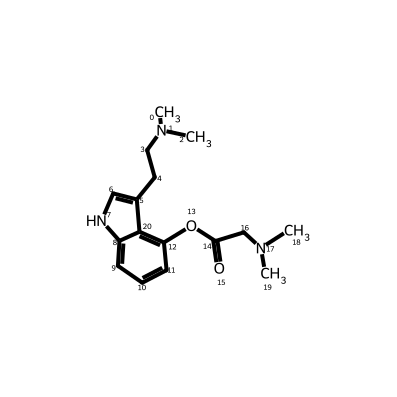 CN(C)CCc1c[nH]c2cccc(OC(=O)CN(C)C)c12